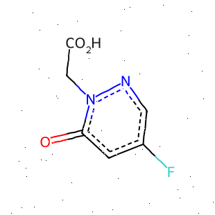 O=C(O)Cn1ncc(F)cc1=O